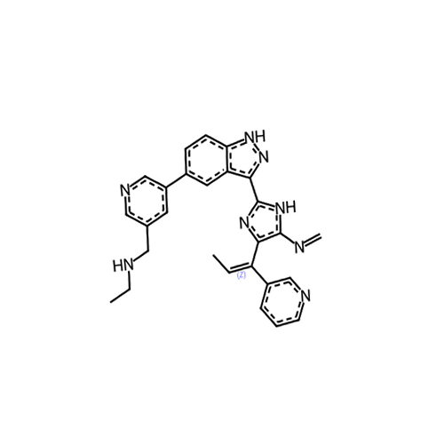 C=Nc1[nH]c(-c2n[nH]c3ccc(-c4cncc(CNCC)c4)cc23)nc1/C(=C\C)c1cccnc1